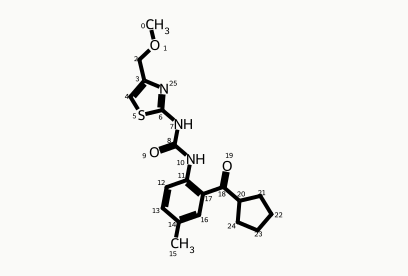 COCc1csc(NC(=O)Nc2ccc(C)cc2C(=O)C2CCCC2)n1